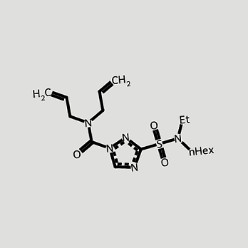 C=CCN(CC=C)C(=O)n1cnc(S(=O)(=O)N(CC)CCCCCC)n1